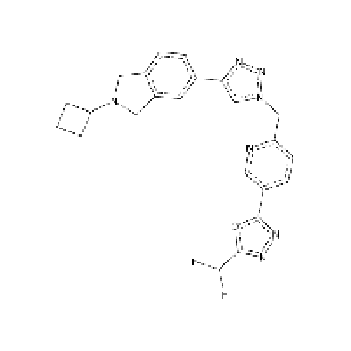 FC(F)c1nnc(-c2ccc(Cn3cc(-c4ccc5c(c4)CN(C4CCC4)C5)nn3)nc2)o1